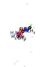 COc1cc(-c2nnn(C(C)c3ccc(F)cc3)n2)ccc1S(=O)(=O)N(CC(N)=O)C(=O)OC(C)(C)C